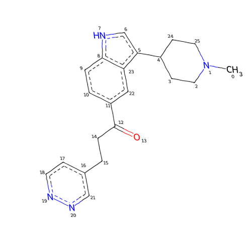 CN1CCC(c2c[nH]c3ccc(C(=O)CCc4ccnnc4)cc23)CC1